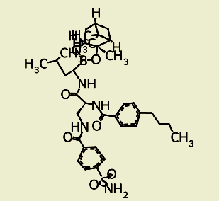 CCCCc1ccc(C(=O)N[C@@H](CNC(=O)c2ccc(S(N)(=O)=O)cc2)C(=O)N[C@@H](CC(C)C)B2O[C@@H]3C[C@@H]4C[C@@H](C4(C)C)[C@]3(C)O2)cc1